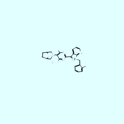 Oc1nc(-c2nn(Cc3ccccc3F)c3ncccc23)nc(O)c1N1CC2CCC(C1)O2